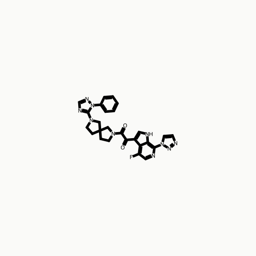 O=C(C(=O)N1CCC2(CCN(c3ncnn3-c3ccccc3)C2)C1)c1c[nH]c2c(-n3ccnn3)ncc(F)c12